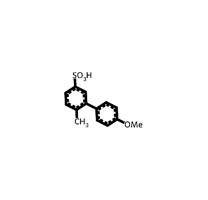 COc1ccc(-c2cc(S(=O)(=O)O)ccc2C)cc1